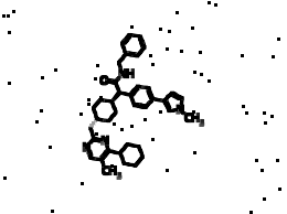 Cc1cnc(C[C@H]2CC[C@H](C(C(=O)NCc3ccccc3)c3ccc(-c4ccn(C)c4)cc3)CC2)nc1C1CCCCC1